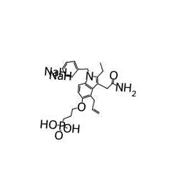 C=CCc1c(OCCCP(=O)(O)O)ccc2c1c(CC(N)=O)c(CC)n2Cc1ccccc1.[NaH].[NaH]